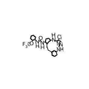 O=C(Nc1ccc2cc1CCc1cccc(c1)Nc1ncc(Cl)c(n1)N2)Nc1ccccc1OC(F)(F)F